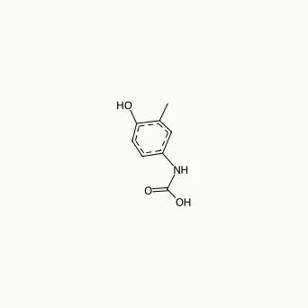 Cc1cc(NC(=O)O)ccc1O